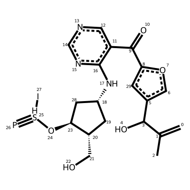 C=C(C)C(O)c1coc(C(=O)c2cncnc2N[C@@H]2C[C@H](CO)[C@@H](O[SH](#P)I)C2)c1